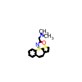 CN(C)CC(=O)/N=S1/c2ccccc2C=Cc2ccsc21